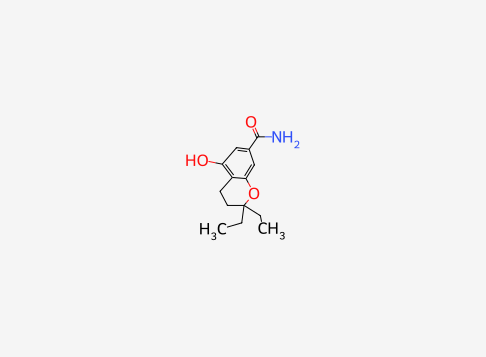 CCC1(CC)CCc2c(O)cc(C(N)=O)cc2O1